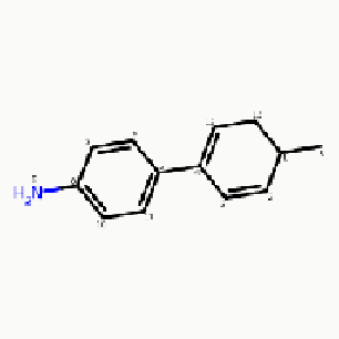 CC1C=CC(c2ccc(N)cc2)=CC1